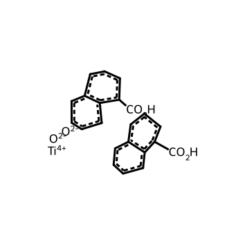 O=C(O)c1cccc2ccccc12.O=C(O)c1cccc2ccccc12.[O-2].[O-2].[Ti+4]